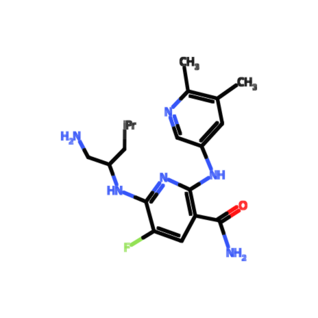 Cc1cc(Nc2nc(NC(CN)CC(C)C)c(F)cc2C(N)=O)cnc1C